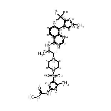 COC(=O)Nc1nc(C)c(S(=O)(=O)N2CCN(CC(C)Nc3ncnc4c(-c5cn(C)nc5C(F)(F)F)cccc34)CC2)s1